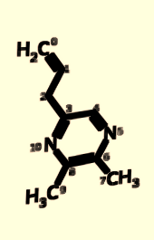 C=CCc1cnc(C)c(C)n1